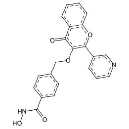 O=C(NO)c1ccc(COc2c(-c3cccnc3)oc3ccccc3c2=O)cc1